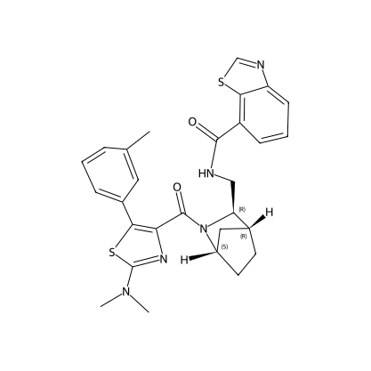 Cc1cccc(-c2sc(N(C)C)nc2C(=O)N2[C@H]3CC[C@H](C3)[C@@H]2CNC(=O)c2cccc3ncsc23)c1